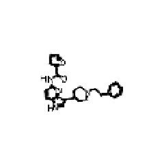 O=C(Nc1ccc2[nH]cc(C3=CCN(CCc4ccccc4)CC3)c2n1)c1ccco1